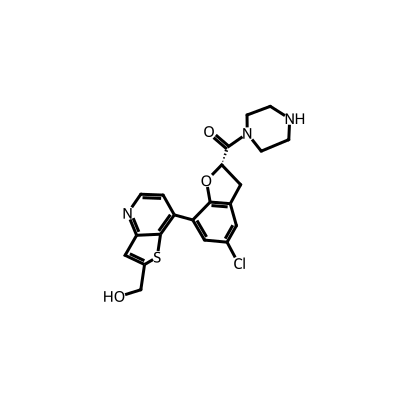 O=C([C@@H]1Cc2cc(Cl)cc(-c3ccnc4cc(CO)sc34)c2O1)N1CCNCC1